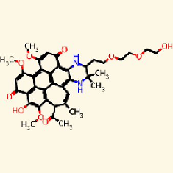 COc1c(O)c2c(=O)cc(OC)c3c4c(OC)cc(=O)c5c6c(c7c(c(c1C(C(C)=O)C(C)=C7)c23)c54)NC(C)(C)C(CCOCCOCCO)N6